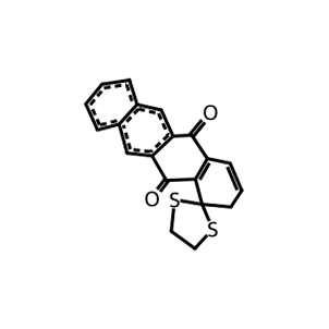 O=C1C2=C(C(=O)c3cc4ccccc4cc31)C1(CC=C2)SCCS1